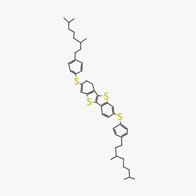 CC(C)CCCC(C)CCc1ccc(SC2=Cc3sc4c(sc5cc(Sc6ccc(CCC(C)CCCC(C)C)cc6)ccc54)c3CC2)cc1